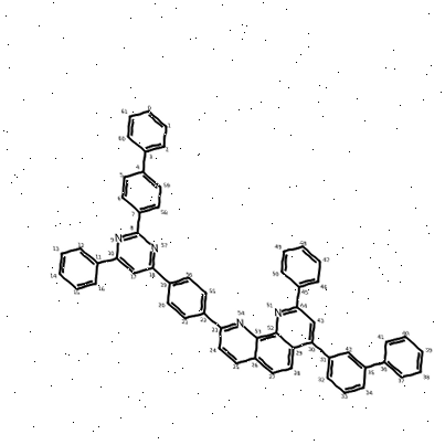 c1ccc(-c2ccc(-c3nc(-c4ccccc4)cc(-c4ccc(-c5ccc6ccc7c(-c8cccc(-c9ccccc9)c8)cc(-c8ccccc8)nc7c6n5)cc4)n3)cc2)cc1